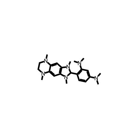 CN(C)c1ccc(C2N(C)c3cc4c(cc3N2C)N(C)CCN4C)c(N(C)C)c1